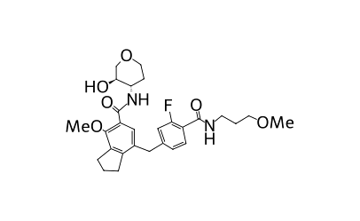 COCCCNC(=O)c1ccc(Cc2cc(C(=O)N[C@H]3CCOC[C@@H]3O)c(OC)c3c2CCC3)cc1F